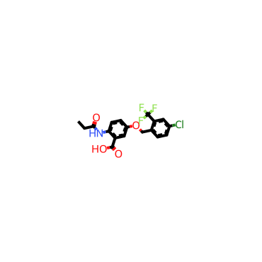 CCC(=O)Nc1ccc(OCc2ccc(Cl)cc2C(F)(F)F)cc1C(=O)O